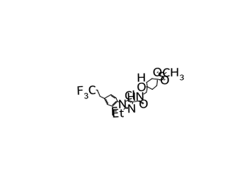 CCc1nc(C(=O)NCC2(O)CCC(S(C)(=O)=O)CC2)c(Cl)n1-c1ccc(CCC(F)(F)F)cc1F